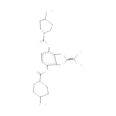 CCCCC1CCC(C(=O)Oc2ccc(OC(=O)C3CCC(CCCC)CC3)c3c2SC(=C(C#N)C#N)S3)CC1